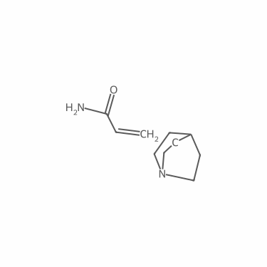 C1CN2CCC1CC2.C=CC(N)=O